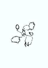 CN1CCC(OC2c3ccccc3CCn3c2nc(-c2ccccc2)c3C=O)CC1